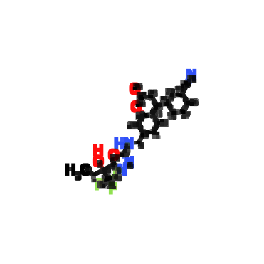 CCC(O)(c1nnc(NCc2ccc3c(-c4cccc(C#N)c4)cc(=O)oc3c2)o1)C(F)(F)F